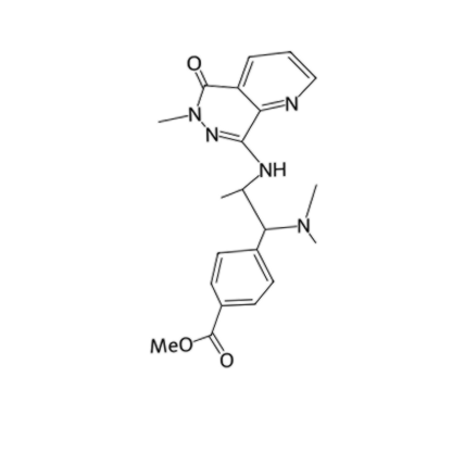 COC(=O)c1ccc(C(C(C)Nc2nn(C)c(=O)c3cccnc23)N(C)C)cc1